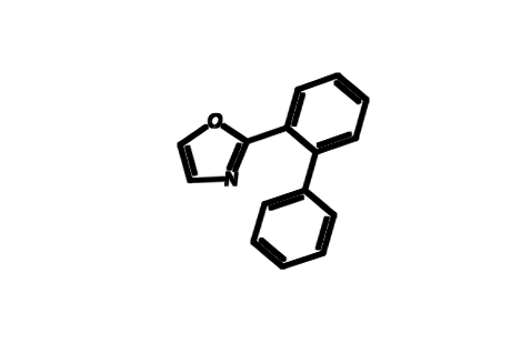 c1ccc(-c2ccccc2-c2ncco2)cc1